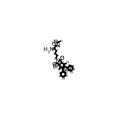 Cc1noc([C@@H](N)CCCCN2C(=O)C3C4(C)C(c5ccccc5)=C(c5ccccc5)C(C)(C4O)C3(Br)C2=O)n1